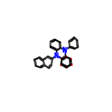 c1ccc(N(c2ccccc2)c2ccccc2N(c2ccccc2)c2ccc3ccccc3c2)cc1